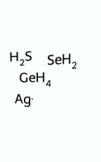 S.[Ag].[GeH4].[SeH2]